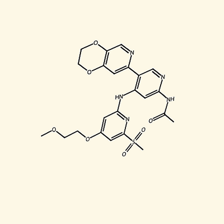 COCCOc1cc(Nc2cc(NC(C)=O)ncc2-c2cc3c(cn2)OCCO3)nc(S(C)(=O)=O)c1